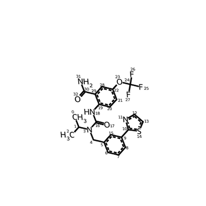 CC(C)N(Cc1cccc(-c2nccs2)c1)C(=O)Nc1ccc(OC(F)(F)F)cc1C(N)=O